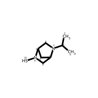 CC(C)N1CC2CC1CN2S